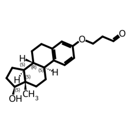 C[C@]12CC[C@@H]3c4ccc(OCCC=O)cc4CC[C@H]3[C@@H]1CC[C@@H]2O